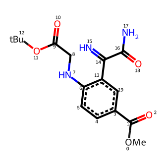 COC(=O)c1ccc(NCC(=O)OC(C)(C)C)c(C(=N)C(N)=O)c1